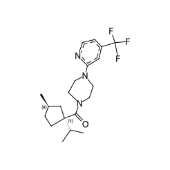 CC(C)[C@]1(C(=O)N2CCN(c3cc(C(F)(F)F)ccn3)CC2)CC[C@@H](C)C1